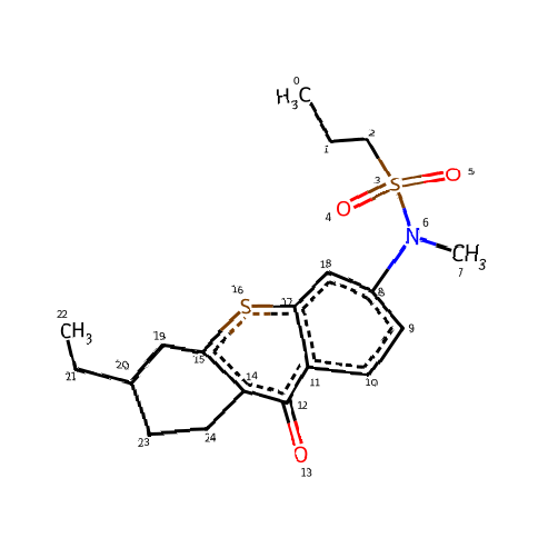 CCCS(=O)(=O)N(C)c1ccc2c(=O)c3c(sc2c1)CC(CC)CC3